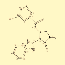 CN1CC(OC(=O)c2cccc(I)c2)N(c2nc3ccccc3s2)C1=O